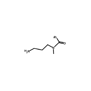 CC(C)C(=O)N(C)CCCN